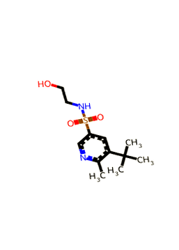 Cc1ncc(S(=O)(=O)NCCO)cc1C(C)(C)C